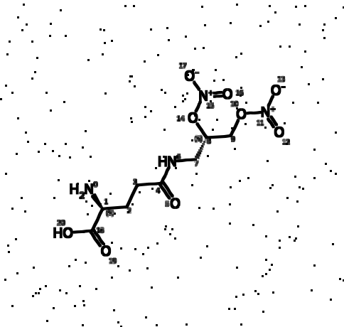 N[C@@H](CCC(=O)NC[C@@H](CO[N+](=O)[O-])O[N+](=O)[O-])C(=O)O